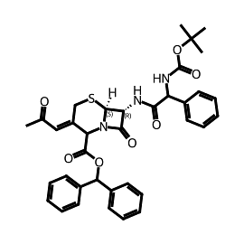 CC(=O)C=C1CS[C@H]2[C@H](NC(=O)C(NC(=O)OC(C)(C)C)c3ccccc3)C(=O)N2C1C(=O)OC(c1ccccc1)c1ccccc1